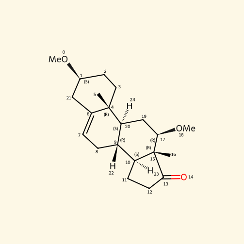 CO[C@H]1CC[C@@]2(C)C(=CC[C@H]3[C@@H]4CCC(=O)[C@@]4(C)[C@H](OC)C[C@@H]32)C1